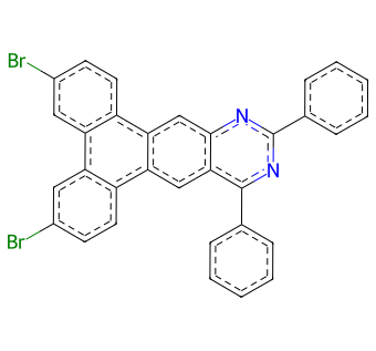 Brc1ccc2c(c1)c1cc(Br)ccc1c1cc3c(-c4ccccc4)nc(-c4ccccc4)nc3cc21